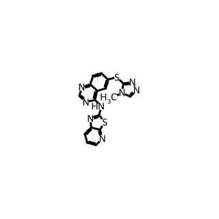 Cn1cnnc1Sc1ccc2ncnc(Nc3nc4cccnc4s3)c2c1